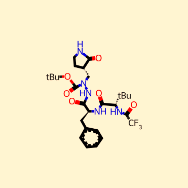 CC(C)(C)OC(=O)N(C[C@@H]1CCNC1=O)NC(=O)[C@H](Cc1ccccc1)NC(=O)[C@@H](NC(=O)C(F)(F)F)C(C)(C)C